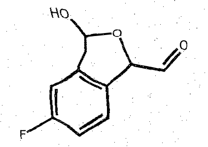 O=CC1OC(O)c2cc(F)ccc21